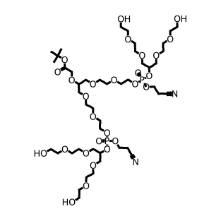 CC(C)(C)OC(=O)COC(COCCOCCOP(=O)(OCCC#N)OC(COCCOCCO)COCCOCCO)COCCOCCOP(=O)(OCCC#N)OC(COCCOCCO)COCCOCCO